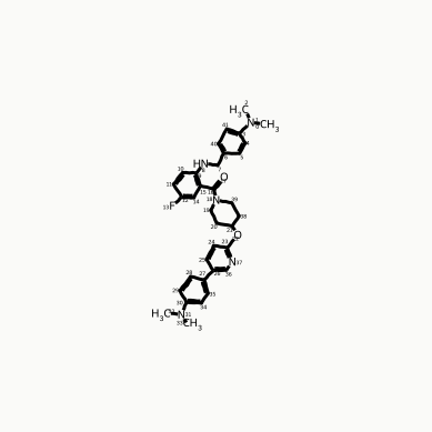 CN(C)c1ccc(CNc2ccc(F)cc2C(=O)N2CCC(Oc3ccc(-c4ccc(N(C)C)cc4)cn3)CC2)cc1